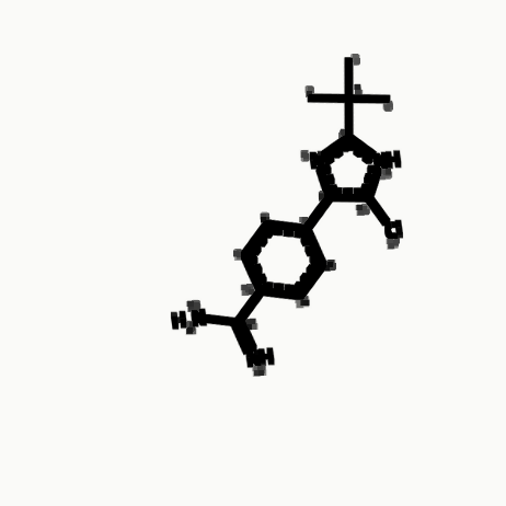 CC(C)(C)c1nc(-c2ccc(C(=N)N)cc2)c(Cl)[nH]1